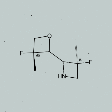 C[C@]1(F)CNC1C1OC[C@@]1(C)F